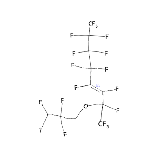 F/C(=C(/F)C(F)(OCC(F)(F)C(F)F)C(F)(F)F)C(F)(F)C(F)(F)C(F)(F)C(F)(F)F